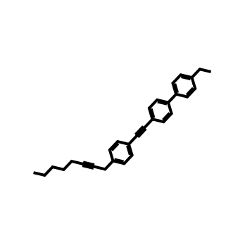 CCCCCC#CCc1ccc(C#Cc2ccc(-c3ccc(CC)cc3)cc2)cc1